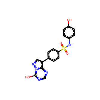 O=S(=O)(Nc1ccc(O)cc1)c1ccc(-c2cnn3c(O)ncnc23)cc1